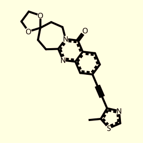 Cc1scnc1C#Cc1ccc2c(=O)n3c(nc2c1)CCC1(CC3)OCCO1